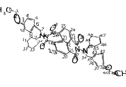 CCOc1ccc(CN(C2CCCCC2)N2C(=O)c3ccc4c5c(ccc(c35)C2=O)C(=O)N(N(Cc2ccc(OCC)cc2)C2CCCCC2)C4=O)cc1